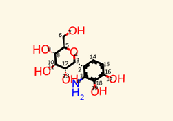 Nc1c([C@H]2O[C@H](CO)[C@@H](O)[C@H](O)[C@H]2O)ccc(O)c1O